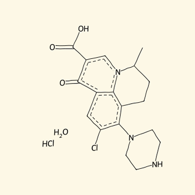 CC1CCc2c(N3CCNCC3)c(Cl)cc3c(=O)c(C(=O)O)cn1c23.Cl.O